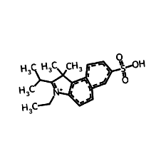 CC[N+]1=C(C(C)C)C(C)(C)c2c1ccc1cc(S(=O)(=O)O)ccc21